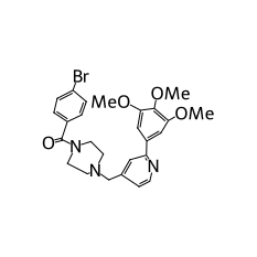 COc1cc(-c2cc(CN3CCN(C(=O)c4ccc(Br)cc4)CC3)ccn2)cc(OC)c1OC